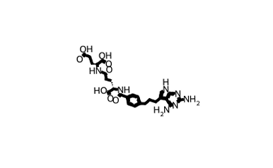 Nc1nc(N)c2c(CCCc3ccc(C(=O)N[C@@H](CCC(=O)N[C@@H](CCC(=O)O)C(=O)O)C(=O)O)cc3)c[nH]c2n1